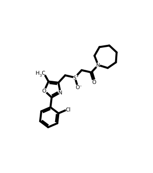 Cc1oc(-c2ccccc2Cl)nc1C[S+]([O-])CC(=O)N1CCCCCC1